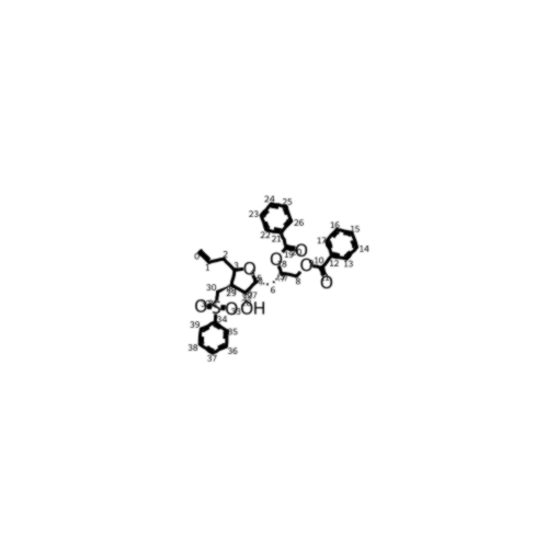 C=CCC1O[C@H](C[C@@H](COC(=O)c2ccccc2)OC(=O)c2ccccc2)[C@H](O)[C@H]1CS(=O)(=O)c1ccccc1